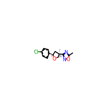 Cc1nc([C@@]2(C)CO[C@@H](c3ccc(Cl)cc3)C2)no1